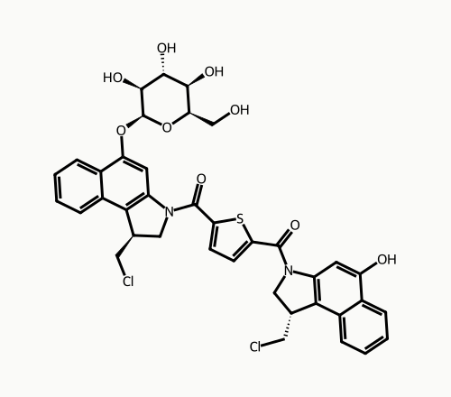 O=C(c1ccc(C(=O)N2C[C@@H](CCl)c3c2cc(O[C@@H]2O[C@H](CO)[C@H](O)[C@@H](O)[C@@H]2O)c2ccccc32)s1)N1C[C@@H](CCl)c2c1cc(O)c1ccccc21